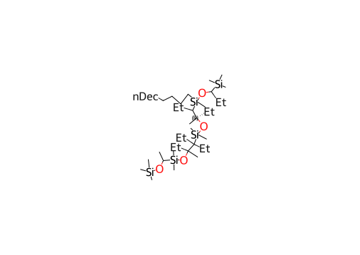 CCCCCCCCCCCCCC[Si](C)(OC(CC)[Si](C)(C)C)C(CC)[C@@](C)(CC)O[Si](C)(C)C(CC)(CC)C(C)(CC)O[Si](C)(C)C(C)O[Si](C)(C)C